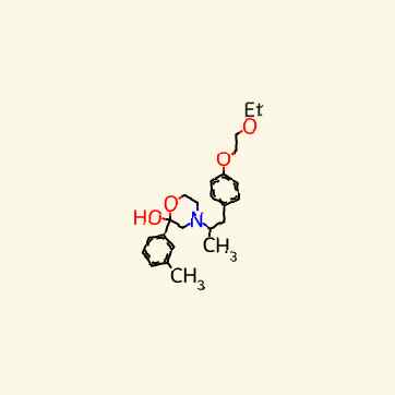 CCOCCOc1ccc(CC(C)N2CCOC(O)(c3cccc(C)c3)C2)cc1